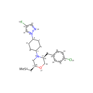 CSC[C@H]1CN(C2CCC(n3cc(F)cn3)CC2)[C@@H](Cc2ccc(Cl)cc2)CO1